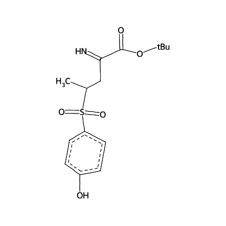 CC(CC(=N)C(=O)OC(C)(C)C)S(=O)(=O)c1ccc(O)cc1